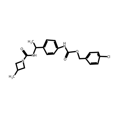 CC1CN(C(=O)NC(C)c2ccc(NC(=O)OCc3ccc(Cl)cc3)cc2)C1